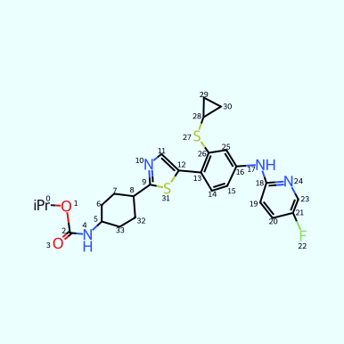 CC(C)OC(=O)NC1CCC(c2ncc(-c3ccc(Nc4ccc(F)cn4)cc3SC3CC3)s2)CC1